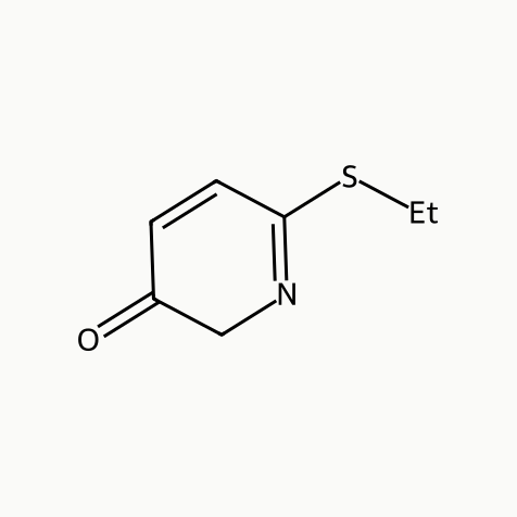 CCSC1=NCC(=O)C=C1